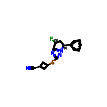 N#C[C@H]1C[C@@H](Sc2nc3n(n2)[C@H](c2ccccc2)C[C@@H]3F)C1